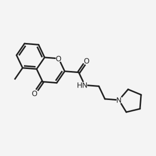 Cc1cccc2oc(C(=O)NCCN3CCCC3)cc(=O)c12